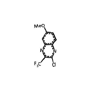 COc1ccc2nc(Cl)c(C(F)(F)F)nc2c1